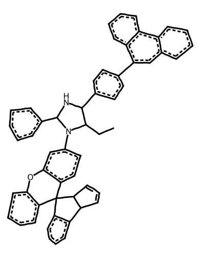 CCC1C(c2ccc(-c3cc4ccccc4c4ccccc34)cc2)NC(c2ccccc2)N1c1ccc2c(c1)Oc1ccccc1C21c2ccccc2C2C=CC=CC21